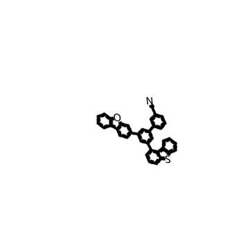 N#Cc1cccc(-c2cc(-c3ccc4c(c3)oc3ccccc34)cc(-c3cccc4sc5ccccc5c34)c2)c1